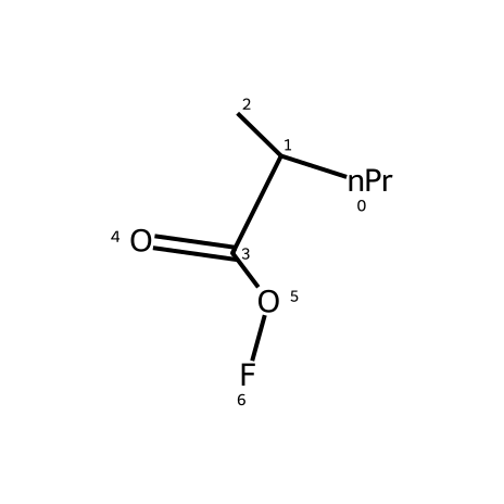 CCCC(C)C(=O)OF